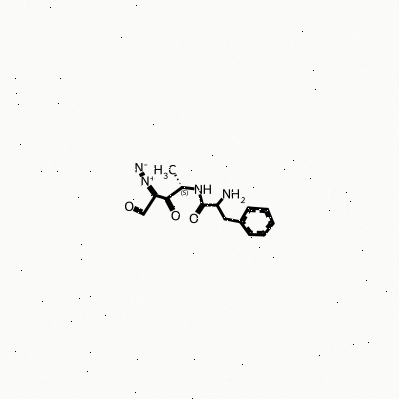 C[C@H](NC(=O)C(N)Cc1ccccc1)C(=O)C(C=O)=[N+]=[N-]